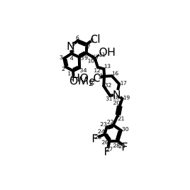 COc1ccc2ncc(Cl)c([C@@H](O)CCC3(C(=O)O)CCN(CC#Cc4cc(F)c(F)c(F)c4)CC3)c2c1